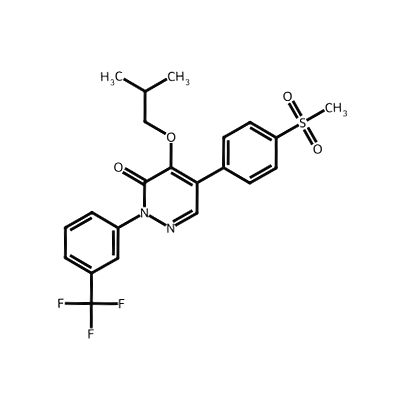 CC(C)COc1c(-c2ccc(S(C)(=O)=O)cc2)cnn(-c2cccc(C(F)(F)F)c2)c1=O